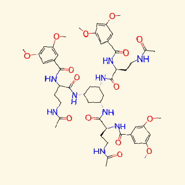 COc1cc(OC)cc(C(=O)NC(CCNC(C)=O)C(=O)N[C@H]2C[C@@H](NC(=O)[C@H](CCNC(C)=O)NC(=O)c3cc(OC)cc(OC)c3)C[C@@H](NC(=O)[C@H](CCNC(C)=O)NC(=O)c3cc(OC)cc(OC)c3)C2)c1